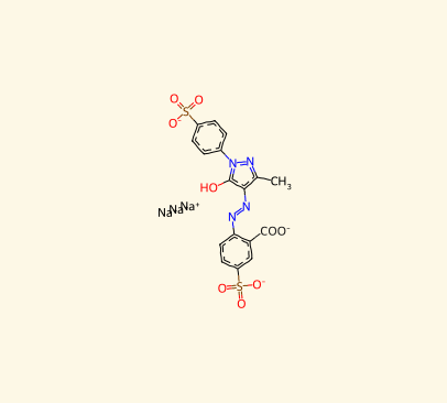 Cc1nn(-c2ccc(S(=O)(=O)[O-])cc2)c(O)c1N=Nc1ccc(S(=O)(=O)[O-])cc1C(=O)[O-].[Na+].[Na+].[Na+]